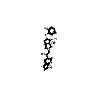 O[C@H](CN1C[C@H]2C[C@H](Oc3ccccc3F)[C@H](O)[C@@]2(O)C1)c1cnc2[nH]ccc2c1